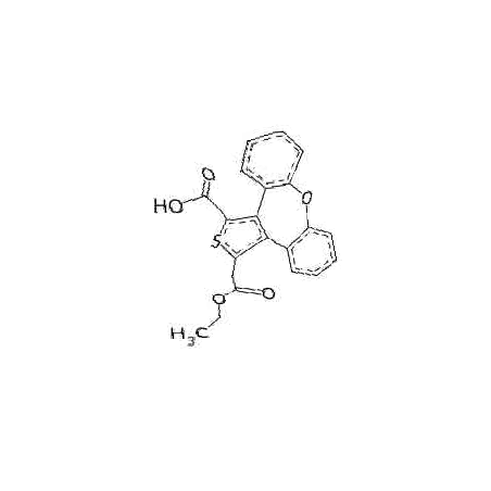 CCOC(=O)c1sc(C(=O)O)c2c1-c1ccccc1Oc1ccccc1-2